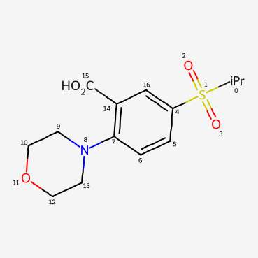 CC(C)S(=O)(=O)c1ccc(N2CCOCC2)c(C(=O)O)c1